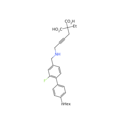 CCCCCCc1ccc(-c2ccc(CNCC#CCC(CC)(C(=O)O)C(=O)O)cc2F)cc1